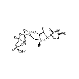 C#C[C@]1(COP(=O)(O)OP(=O)(O)OP(=O)(O)O)O[C@@H](n2ccc(=S)[nH]c2=S)C(F)[C@H]1O